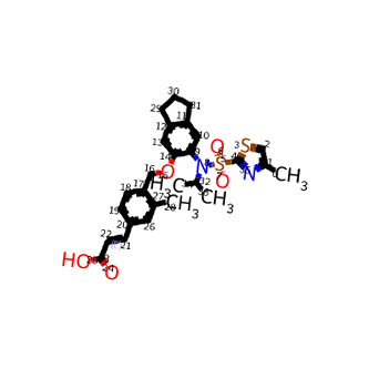 Cc1csc(S(=O)(=O)N(c2cc3c(cc2OCc2ccc(/C=C/C(=O)O)cc2C)CCC3)C(C)C)n1